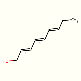 CCC=C/C=C/C=C/CO